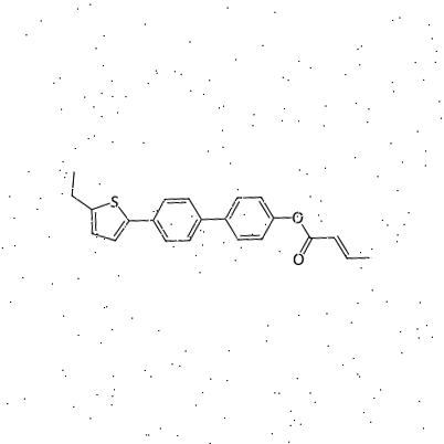 CC=CC(=O)Oc1ccc(-c2ccc(-c3ccc(CC)s3)cc2)cc1